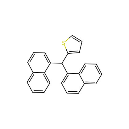 c1csc([C](c2cccc3ccccc23)c2cccc3ccccc23)c1